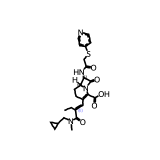 CC/C(=C\C1=C(C(=O)O)N2C(=O)[C@@H](NC(=O)CSc3ccncc3)[C@H]2CC1)C(=O)N(C)CC1CC1